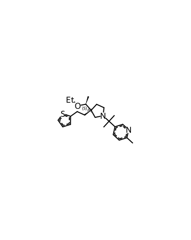 CCO[C@@H](C)[C@]1(CCc2cccs2)CCN(C(C)(C)c2ccc(C)nc2)C1